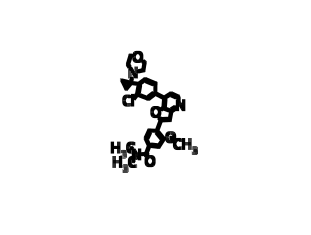 COc1cc(C(=O)N(C)C)ccc1-c1cc2nccc(-c3ccc(C4(N5CCOCC5)CC4)c(Cl)c3)c2o1